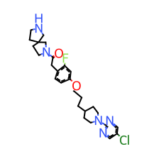 O=C(Cc1ccc(OCCCC2CCN(c3ncc(Cl)cn3)CC2)cc1F)N1CCC2(CCNC2)C1